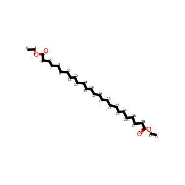 CCOC(=O)CCCCCCCCCCCCCCCCCCCCCCCCC(=O)OCC